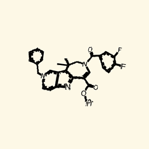 CC(C)OC(=O)C1=CN(C(=O)c2ccc(F)c(F)c2)CC(C)(C)c2c3cn(Cc4ccccc4)ccc-3nc21